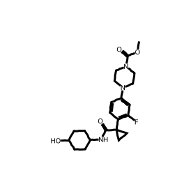 COC(=O)N1CCN(c2ccc(C3(C(=O)NC4CCC(O)CC4)CC3)c(F)c2)CC1